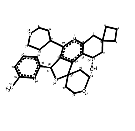 O[C@H]1CC2(CCC2)Cc2nc(C3CCOCC3)c3c(c21)C1(CCOCC1)O[C@H]3c1cccc(C(F)(F)F)n1